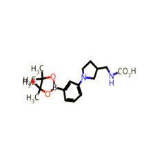 CC1(C)OB(c2cccc(N3CCC(CNC(=O)O)C3)c2)OC1(C)C